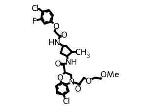 COCCOCC(=O)N1CC(C(=O)NC2CC(NC(=O)COc3ccc(Cl)c(F)c3)CC2C)Oc2ccc(Cl)cc21